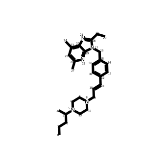 CCCC(C)N1CCN(CC=Cc2ccc(Cn3c(CC)nc4c(C)cc(C)nc43)cc2)CC1